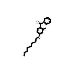 CCCCCCCCOc1ccc(C(=O)c2ccccc2)c(I)c1